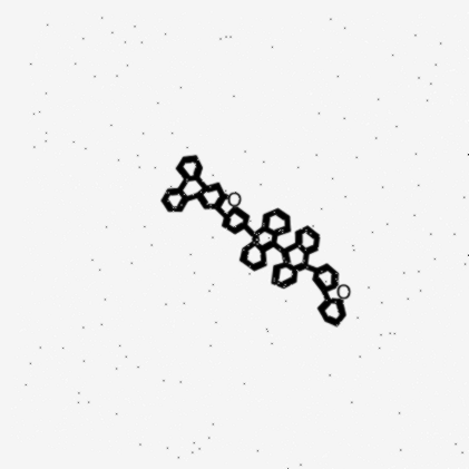 c1ccc2c(c1)oc1ccc(-c3c4ccccc4c(-c4c5ccccc5c(-c5ccc6c(c5)oc5cc7c8ccccc8c8ccccc8c7cc56)c5ccccc45)c4ccccc34)cc12